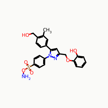 Cc1cc(-c2cc(COc3ccccc3O)nn2-c2ccc(S(=O)(=O)ON)cc2)ccc1CO